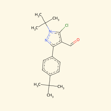 CC(C)(C)c1ccc(-c2nn(C(C)(C)C)c(Cl)c2C=O)cc1